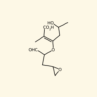 CC(C(=O)O)=C(CC(C)O)OC(C=O)CC1CO1